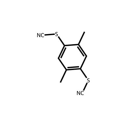 Cc1cc(SC#N)c(C)cc1SC#N